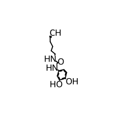 C#CCCCCNC(=O)Nc1ccc(O)c(O)c1